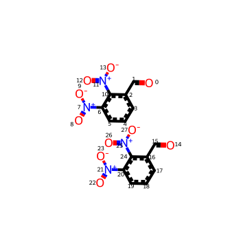 O=Cc1cccc([N+](=O)[O-])c1[N+](=O)[O-].O=Cc1cccc([N+](=O)[O-])c1[N+](=O)[O-]